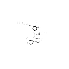 COCCCc1cc(CN(C(=O)[C@@H]2CNCC[C@H]2c2ccn(C)c(=O)c2)C2CC2)cc(Br)c1C.Cl